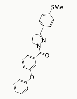 CSc1ccc(C2=NN(C(=O)c3cccc(Oc4ccccc4)c3)CC2)cc1